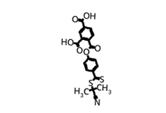 CC(C)(C#N)SC(=S)c1ccc(OC(=O)c2ccc(C(=O)O)cc2C(=O)O)cc1